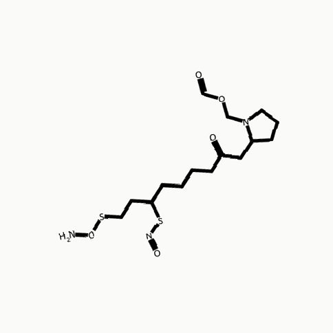 NOSCCC(CCCCC(=O)CC1CCCN1COC=O)SN=O